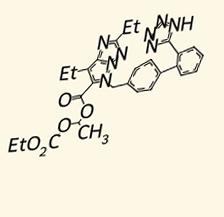 CCOC(=O)OC(C)OC(=O)c1c(CC)c2nc(CC)nn2n1Cc1ccc(-c2ccccc2-c2nnn[nH]2)cc1